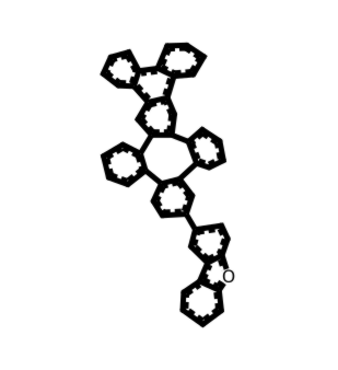 c1ccc2c(c1)-c1ccc(-c3ccc4oc5ccccc5c4c3)cc1-c1ccccc1-c1cc3c4ccccc4c4ccccc4c3cc1-2